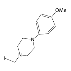 COc1ccc(N2CCN(CI)CC2)cc1